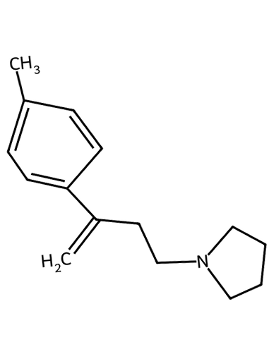 C=C(CCN1CCCC1)c1ccc(C)cc1